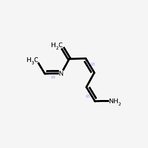 C=C(/C=C\C=C/N)/N=C\C